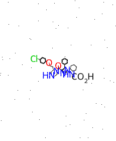 O=C(O)N[C@H]1CCCC[C@@H]1n1cnc(C(=O)N2CCNC[C@H]2CCOc2ccc(Cl)cc2)c1-c1ccccc1